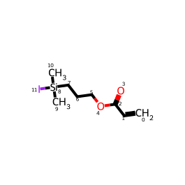 C=CC(=O)OCCC[Si](C)(C)I